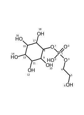 O=P(O)(OCCO)OC1C(O)C(O)C(O)C(O)C1O